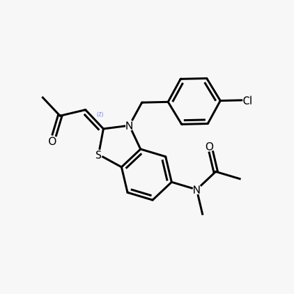 CC(=O)/C=C1\Sc2ccc(N(C)C(C)=O)cc2N1Cc1ccc(Cl)cc1